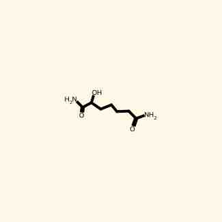 NC(=O)CCCCC(O)C(N)=O